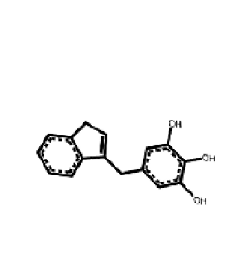 Oc1cc(CC2=CCc3ccccc32)cc(O)c1O